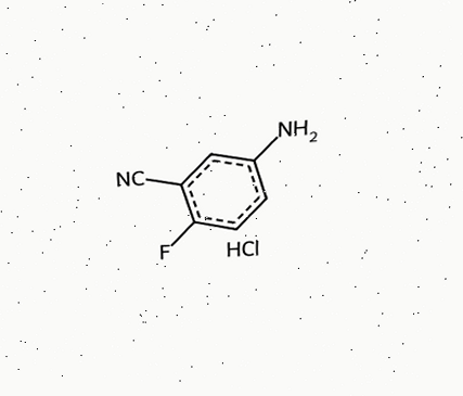 Cl.N#Cc1cc(N)ccc1F